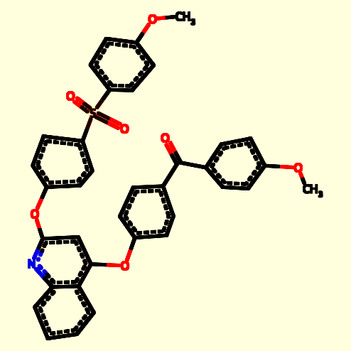 COc1ccc(C(=O)c2ccc(Oc3cc(Oc4ccc(S(=O)(=O)c5ccc(OC)cc5)cc4)nc4ccccc34)cc2)cc1